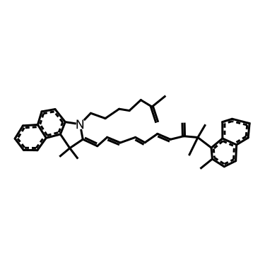 C=C(C)CCCCCN1\C(=C/C=C/C=C/C=C/C(=C)C(C)(C)c2c(C)ccc3ccccc23)C(C)(C)c2c1ccc1ccccc21